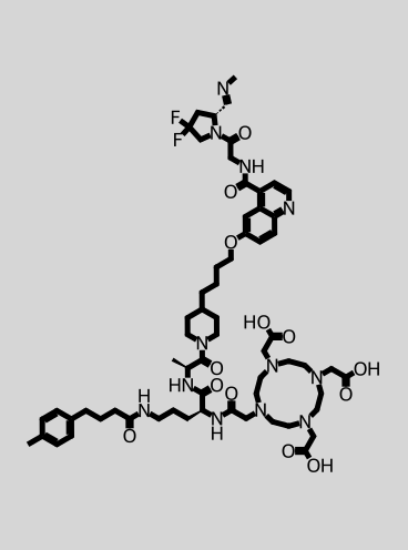 C/N=C/[C@H]1CC(F)(F)CN1C(=O)CNC(=O)c1ccnc2ccc(OCCCCC3CCN(C(=O)[C@H](C)NC(=O)[C@H](CCCNC(=O)CCCc4ccc(C)cc4)NC(=O)CN4CCN(CC(=O)O)CCN(CC(=O)O)CCN(CC(=O)O)CC4)CC3)cc12